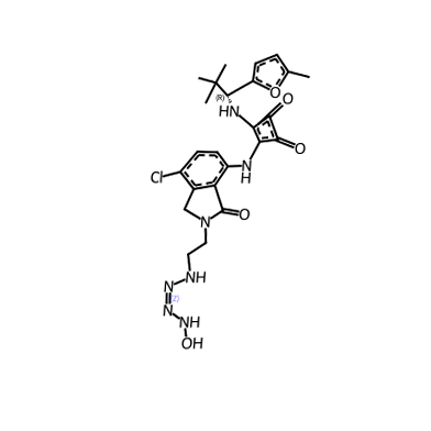 Cc1ccc([C@H](Nc2c(Nc3ccc(Cl)c4c3C(=O)N(CCN/N=N\NO)C4)c(=O)c2=O)C(C)(C)C)o1